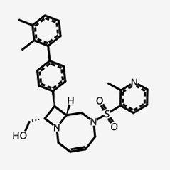 Cc1cccc(-c2ccc([C@@H]3[C@@H](CO)N4C/C=C\CN(S(=O)(=O)c5cccnc5C)C[C@@H]34)cc2)c1C